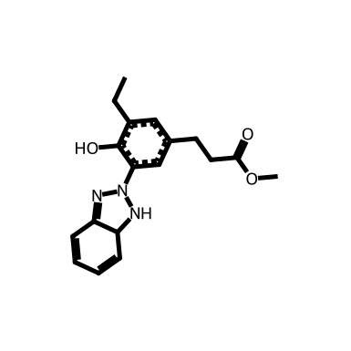 CCc1cc(CCC(=O)OC)cc(N2N=C3C=CC=CC3N2)c1O